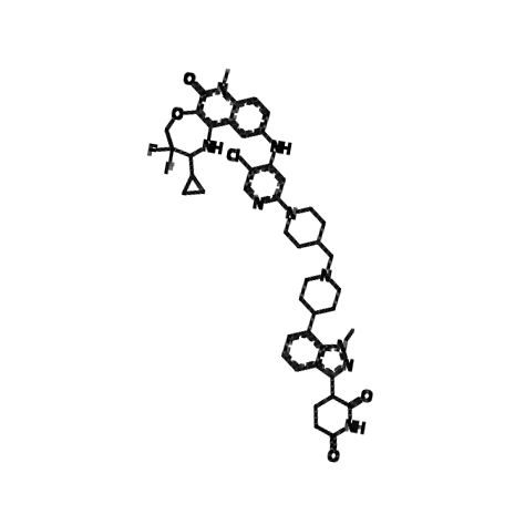 Cn1nc(C2CCC(=O)NC2=O)c2cccc(C3CCN(CC4CCN(c5cc(Nc6ccc7c(c6)c6c(c(=O)n7C)OCC(F)(F)C(C7CC7)N6)c(Cl)cn5)CC4)CC3)c21